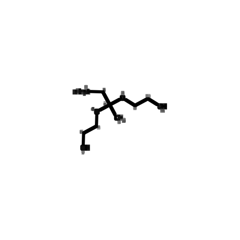 CCCCCCCCC(C)(OCCO)OCCO